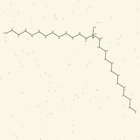 CCCCCCCCCCCCO[SiH](C)OCCCCCCCCCCCC